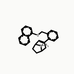 CN1C2C=C(c3ccccc3CSc3cccc4ccccc34)CC1CC2